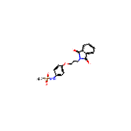 CS(=O)(=O)Nc1ccc(OCCCN2C(=O)c3ccccc3C2=O)cc1